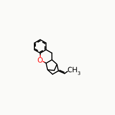 C/C=C1/CC2CC1C1Cc3ccccc3OC21